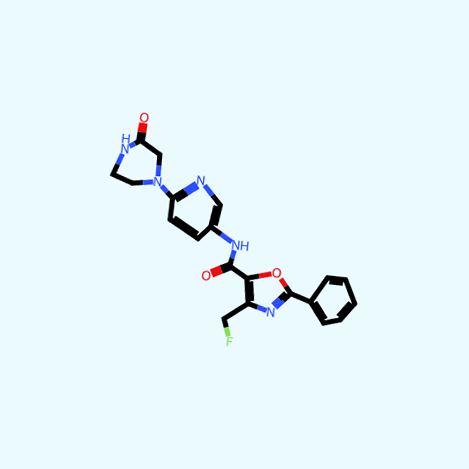 O=C1CN(c2ccc(NC(=O)c3oc(-c4ccccc4)nc3CF)cn2)CCN1